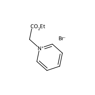 CCOC(=O)C[n+]1ccccc1.[Br-]